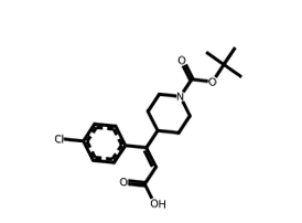 CC(C)(C)OC(=O)N1CCC(/C(=C/C(=O)O)c2ccc(Cl)cc2)CC1